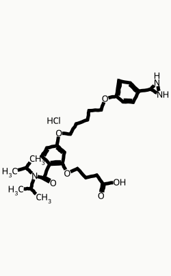 CC(C)N(C(=O)c1ccc(OCCCCCOc2ccc(C3NN3)cc2)cc1OCCCC(=O)O)C(C)C.Cl